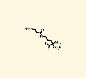 CCCCCCCCCCCC(=O)NCCCC(N)(C(=O)O)C(F)F